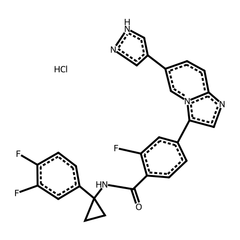 Cl.O=C(NC1(c2ccc(F)c(F)c2)CC1)c1ccc(-c2cnc3ccc(-c4cn[nH]c4)cn23)cc1F